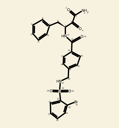 NC(=O)C(=O)[C@H](Cc1ccccc1)NC(=O)c1ccc(CNS(=O)(=O)c2ccccc2Br)cc1